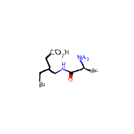 CCC(C)CC(CNC(=O)[C@@H](N)C(C)CC)CC(=O)O